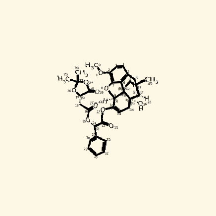 COc1ccc2c3c1O[C@@H]1C(OC(=O)[C@@H](OC(=O)C[C@@H]4OC(C)(C)OC4=O)c4ccccc4)=CC[C@]4(O)[C@H](C2)N(C)CC[C@@]314